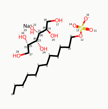 CCCCCCCCCCCCOS(=O)(=O)[O-].OC[C@@H](O)[C@@H](O)[C@H](O)[C@@H](O)CO.[Na+]